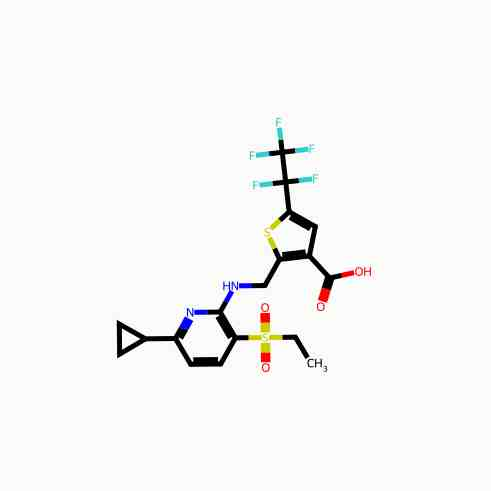 CCS(=O)(=O)c1ccc(C2CC2)nc1NCc1sc(C(F)(F)C(F)(F)F)cc1C(=O)O